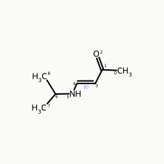 CC(=O)/C=C/NC(C)C